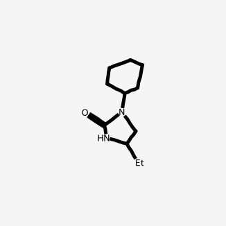 CCC1CN(C2CCCCC2)C(=O)N1